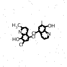 Cc1ccc2c(Cl)cc(Cl)c(O)c2n1.Oc1c(I)cc(Cl)c2cccnc12